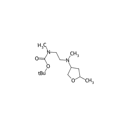 CC1CC(N(C)CCN(C)C(=O)OC(C)(C)C)CO1